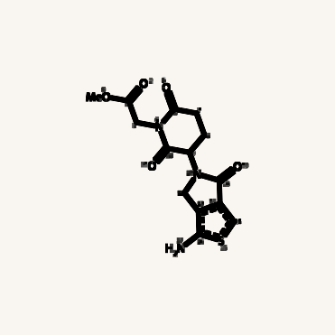 COC(=O)CN1C(=O)CCC(N2Cc3c(csc3N)C2=O)C1=O